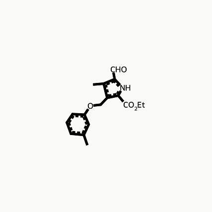 CCOC(=O)c1[nH]c(C=O)c(C)c1COc1cccc(C)c1